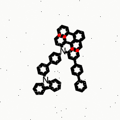 c1ccc(-c2ccc(-c3cccc(N(c4ccc(-c5cccc(-n6c7ccccc7c7ccccc76)c5)cc4)c4ccccc4-c4cccc5cccc(-c6ccccc6)c45)c3)cc2)cc1